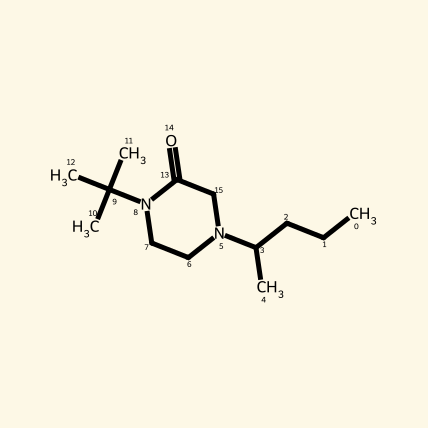 CCCC(C)N1CCN(C(C)(C)C)C(=O)C1